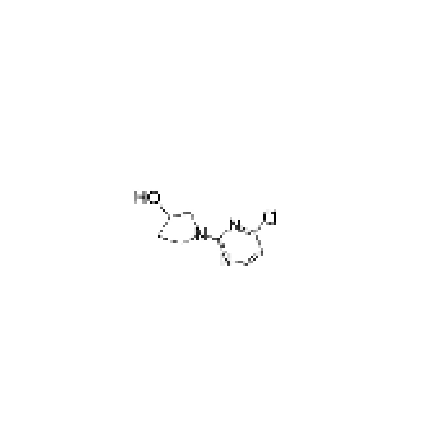 OC1CCN(c2nccc(Cl)n2)C1